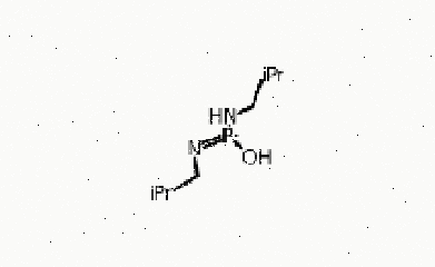 CC(C)C/N=[P](\O)NCC(C)C